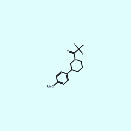 COc1ccc(C2CCCN(C(=O)C(C)(F)F)C2)cc1